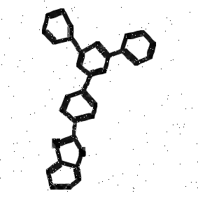 c1ccc(-c2cc(-c3ccccc3)cc(-c3ccc(-c4nc5ccccc5s4)cc3)c2)cc1